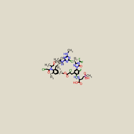 CCNc1nc(Cl)nc(NC(C)(C)C)n1.CCOC(=O)C(Cl)Cc1cc(-n2nc(C)n(C(F)F)c2=O)c(F)cc1Cl.CCc1cccc(C)c1N(C(=O)CCl)C(C)COC.CP(=O)(O)CCC(N)C(=O)O